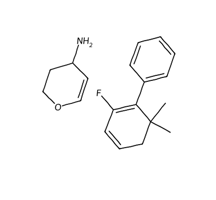 CC1(C)CC=CC(F)=C1c1ccccc1.NC1C=COCC1